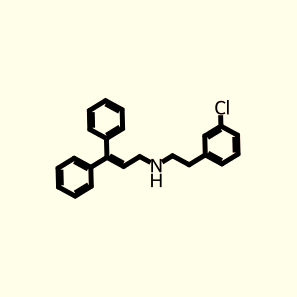 Clc1cccc(CCNCC=C(c2ccccc2)c2ccccc2)c1